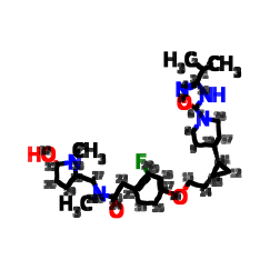 CC(C)C1=NOC(N2CCC([C@H]3C[C@H]3CCOC3=CC(F)=C(CC(=O)N(C)CC4CCC(O)N4C)CC3)CC2)N1